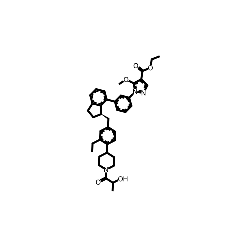 CCOC(=O)c1cnn(-c2cccc(-c3cccc4c3[C@@H](Cc3ccc(C5CCN(C(=O)C(C)O)CC5)c(CC)c3)CC4)c2)c1OC